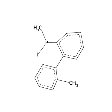 Cc1ccccc1-c1ccccc1P(C)I